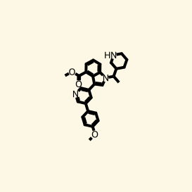 COC(=O)c1cccc2c1c(-c1cncc(-c3ccc(OC)cc3)c1)cn2C(C)C1CCCNC1